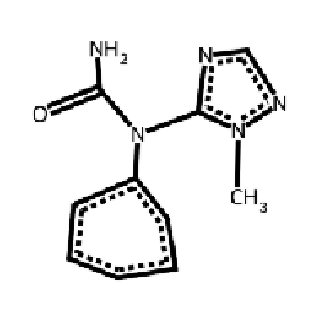 Cn1ncnc1N(C(N)=O)c1ccccc1